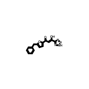 O=C(C=C(O)c1nn[nH]n1)c1ccc(Cc2ccccc2)o1